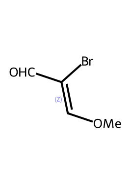 CO/C=C(\Br)C=O